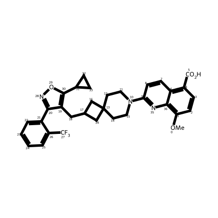 COc1ccc(C(=O)O)c2ccc(N3CCC4(CC3)CC(Cc3c(-c5ccccc5C(F)(F)F)noc3C3CC3)C4)nc12